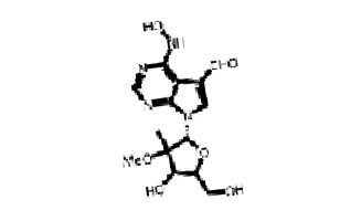 COC1(C)C(O)C(CO)O[C@H]1n1cc(C=O)c2c(NO)ncnc21